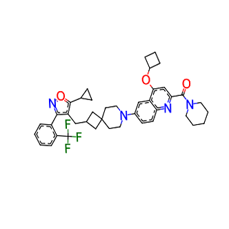 O=C(c1cc(OC2CCC2)c2cc(N3CCC4(CC3)CC(Cc3c(-c5ccccc5C(F)(F)F)noc3C3CC3)C4)ccc2n1)N1CCCCC1